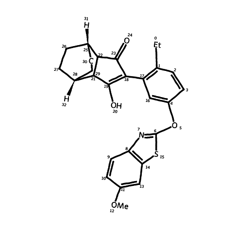 CCc1ccc(Oc2nc3ccc(OC)cc3s2)cc1C1=C(O)C2C(C1=O)[C@H]1CC[C@@H]2CC1